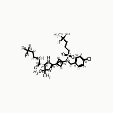 CC(F)(F)CCCS(=O)(=O)N(Cc1ccc(Cl)cc1)C12CC(C3=NC(C)(C)[C@H](C(=O)NCCC(F)(F)F)N3)(C1)C2